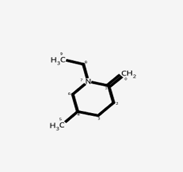 C=C1CCC(C)CN1CC